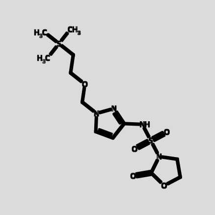 CS(C)(C)CCOCn1ccc(NS(=O)(=O)N2CCOC2=O)n1